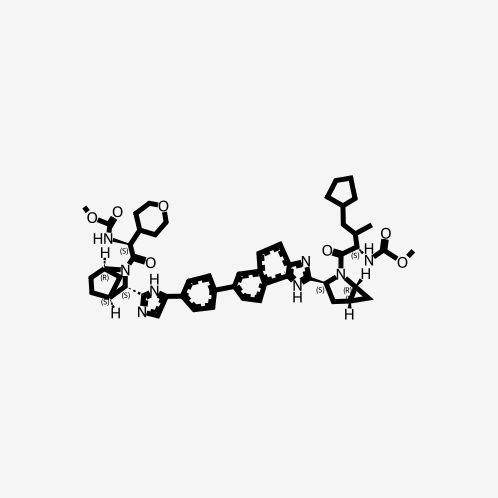 COC(=O)N[C@H](C(=O)N1[C@@H]2C[C@@H]2C[C@H]1c1nc2ccc3cc(-c4ccc(-c5cnc([C@@H]6[C@H]7CC[C@H](C7)N6C(=O)[C@@H](NC(=O)OC)C6CCOCC6)[nH]5)cc4)ccc3c2[nH]1)C(C)CC1CCCC1